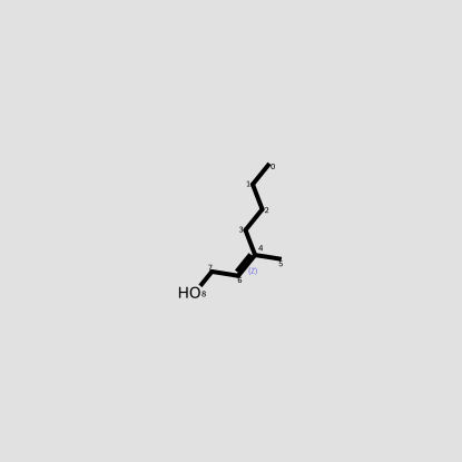 CCCC/C(C)=C\CO